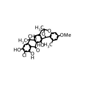 COc1cc(C)c2c(c1)OC1(C)Cc3cc4c(c(O)c3C2O1)C(=O)c1c(cc(O)c(Cl)c1O)C4(C)C